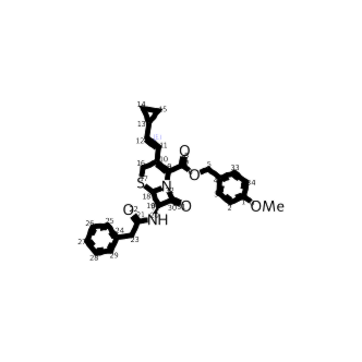 COc1ccc(COC(=O)C2=C(/C=C/C3CC3)CSC3[C@H](NC(=O)Cc4ccccc4)C(=O)N23)cc1